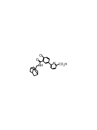 O=C(O)c1cccc(-c2ccc(Cl)c(C(=O)NCC34CC5CC(CC(C5)C3)C4)c2)n1